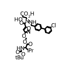 CC(C)C(NC(=O)OC(C)(C)C)C(=O)OCOc1cc(C(=O)N(CC(O)C(=O)O)NCc2ccc(-c3cccc(Cl)c3)cc2)on1